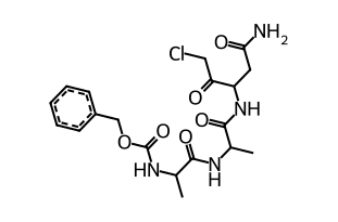 CC(NC(=O)OCc1ccccc1)C(=O)NC(C)C(=O)NC(CC(N)=O)C(=O)CCl